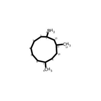 BC1CCCCCC(C)CCC(C)C1